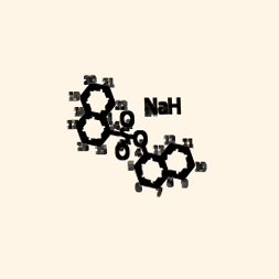 O=S(=O)(Oc1cccc2ccccc12)c1cccc2ccccc12.[NaH]